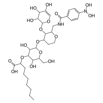 CCCCCCCC(OC1C(O)C(CO)OC(OC2CCOC(CNC(=O)c3ccc(N(O)O)cc3)C2OC2OC=C(O)C(O)C2O)C1O)C(=O)O